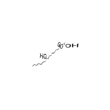 CCCCCCCC(O)CCCCCCCC(=O)OCC(C)CO